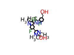 Cc1nc2cc(F)c(-c3cnc(C(C)(C)O)nc3)cc2c(NC(C)c2cc(CCO)ccc2F)c1Cl